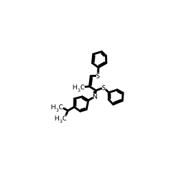 CC(=CSc1ccccc1)C(=Nc1ccc(C(C)C)cc1)Sc1ccccc1